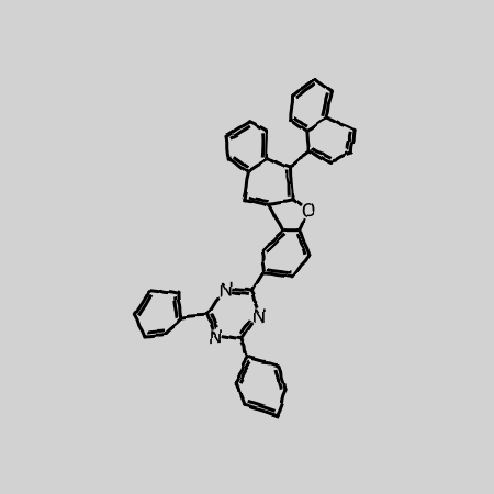 c1ccc(-c2nc(-c3ccccc3)nc(-c3ccc4oc5c(-c6cccc7ccccc67)c6ccccc6cc5c4c3)n2)cc1